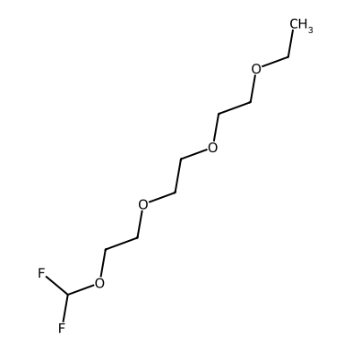 CCOCCOCCOCCOC(F)F